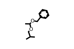 CC(C)COC(C)OCc1ccccc1